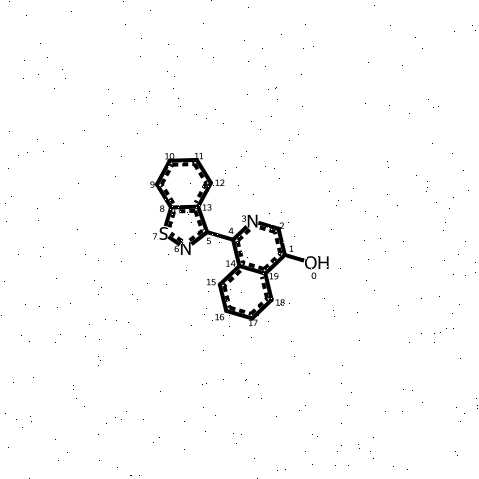 Oc1cnc(-c2nsc3ccccc23)c2ccccc12